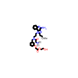 CCN(CC)CC(=O)N(CCCn1c(CCOC)nc2c(N)nc3ccccc3c21)Cc1cccc(OCC(=O)OCCO)c1